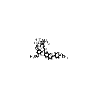 COc1cc(OC)cc(N(CCO[Si](C)(C)C(C)(C)C)c2ccc3ncc(-c4ccc(OC)nc4)nc3c2)c1